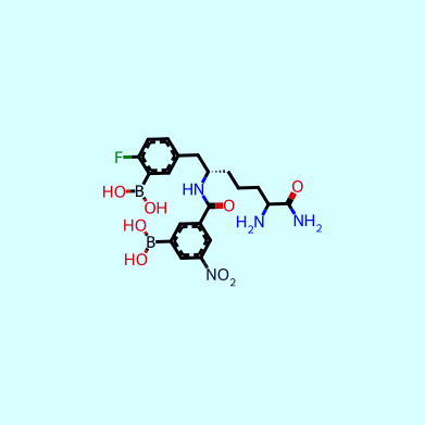 NC(=O)C(N)CCC[C@@H](Cc1ccc(F)c(B(O)O)c1)NC(=O)c1cc(B(O)O)cc([N+](=O)[O-])c1